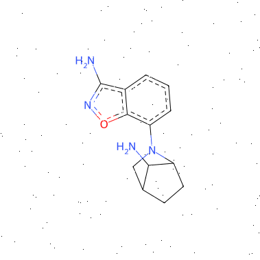 Nc1noc2c(N3CC4CCC3C4N)cccc12